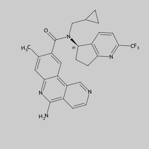 Cc1cc2nc(N)c3ccncc3c2cc1C(=O)N(CC1CC1)[C@@H]1CCc2nc(C(F)(F)F)ccc21